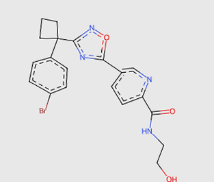 O=C(NCCO)c1ccc(-c2nc(C3(c4ccc(Br)cc4)CCC3)no2)cn1